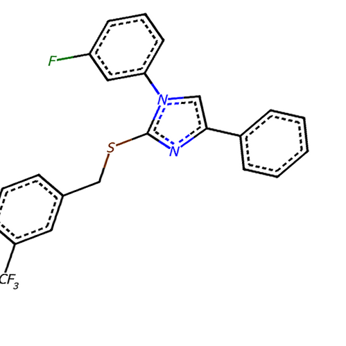 Fc1cccc(-n2cc(-c3ccccc3)nc2SCc2cccc(C(F)(F)F)c2)c1